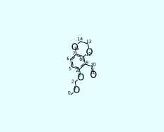 COCOc1ccc2c(c1C=O)OCCO2